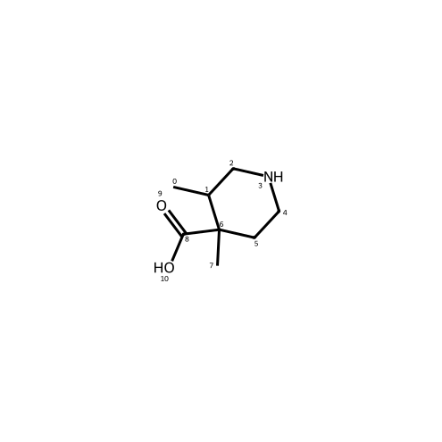 CC1CNCCC1(C)C(=O)O